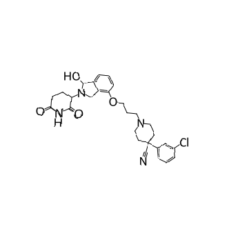 N#CC1(c2cccc(Cl)c2)CCN(CCCOc2cccc3c2CN(C2CCC(=O)NC2=O)C3O)CC1